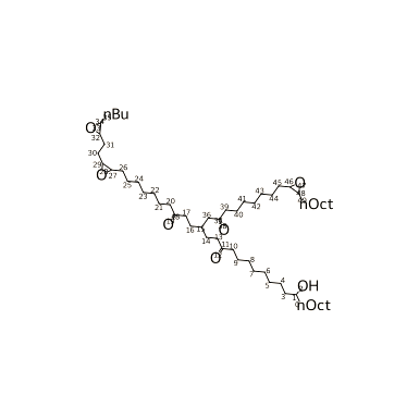 CCCCCCCCC(O)CCCCCCCCC(=O)CCC(CCC(=O)CCCCCCCC1OC1CCC1OC1CCCC)CC(=O)CCCCCCCC1OC1CCCCCCCC